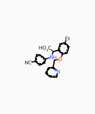 CCc1ccc(OCc2ccccn2)c([C@@H](Nc2ccc(C#N)cc2)C(=O)O)c1